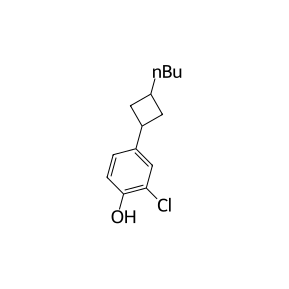 CCCCC1CC(c2ccc(O)c(Cl)c2)C1